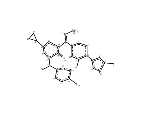 Cc1cn(-c2ccc(/C(=N\N)c3cc(C4CC4)cn(C(C)c4ccc(F)cc4)c3=O)cc2C)cn1